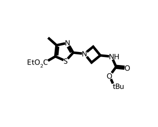 CCOC(=O)c1sc(N2CC(NC(=O)OC(C)(C)C)C2)nc1C